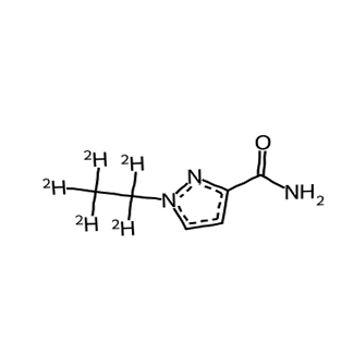 [2H]C([2H])([2H])C([2H])([2H])n1ccc(C(N)=O)n1